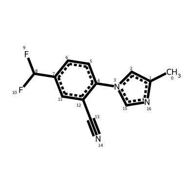 Cc1cn(-c2ccc(C(F)F)cc2C#N)cn1